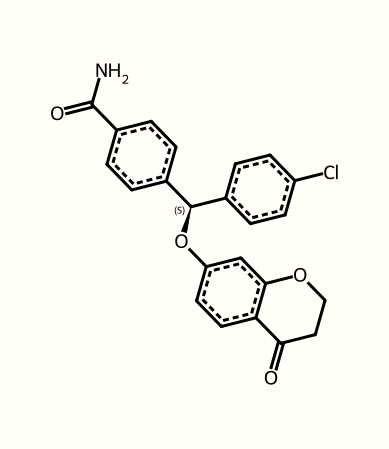 NC(=O)c1ccc([C@H](Oc2ccc3c(c2)OCCC3=O)c2ccc(Cl)cc2)cc1